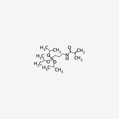 C=C(C)C(=O)NCCC[Si](OC(C)C)(OC(C)C)OC(C)C